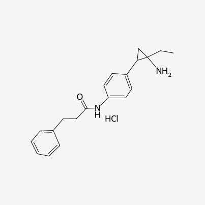 CCC1(N)CC1c1ccc(NC(=O)CCc2ccccc2)cc1.Cl